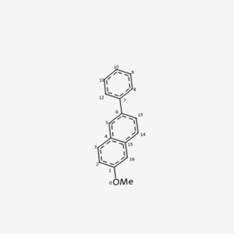 COc1ccc2[c]c(-c3ccccc3)ccc2c1